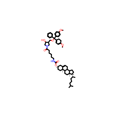 COC1=CC=C(C(OCC2CN(C(=O)CCCCCNC(=O)O[C@H]3CC[C@@]4(C)C(=CCC5C4CC[C@@]4(C)C5CC[C@@H]4C(C)CCCC(C)C)C3)CC2O)(c2ccccc2)c2ccc(OC)cc2)CC1